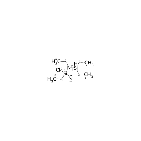 CCN([SiH](CC)CC)[Si](Cl)(Cl)CC